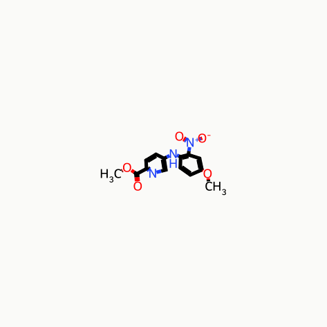 COC(=O)c1ccc(Nc2ccc(OC)cc2[N+](=O)[O-])cn1